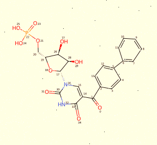 O=C(c1ccc(-c2ccccc2)cc1)c1cn([C@@H]2O[C@H](COP(=O)(O)O)[C@@H](O)[C@H]2O)c(=O)[nH]c1=O